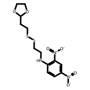 O=[N+]([O-])c1ccc(NCCSSCCC2OCCO2)c([N+](=O)[O-])c1